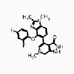 Cc1nc2c(Oc3ccc(F)cc3F)c(C3=CN(C)Cc4[nH][nH]c(=O)c43)ccc2n1C